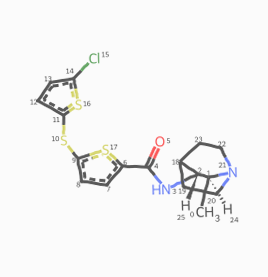 C[C@H]1[C@H](NC(=O)c2ccc(Sc3ccc(Cl)s3)s2)C2CCN1CC2